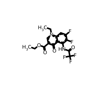 CCOC(=O)c1cn(CC)c2cc(F)c(F)c(NC(=O)C(F)(F)F)c2c1=O